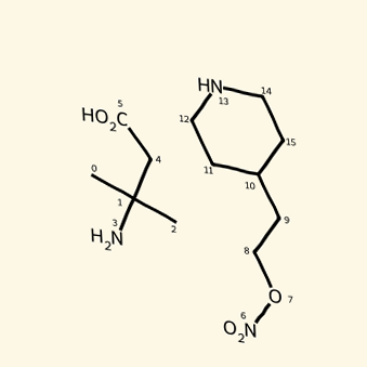 CC(C)(N)CC(=O)O.O=[N+]([O-])OCCC1CCNCC1